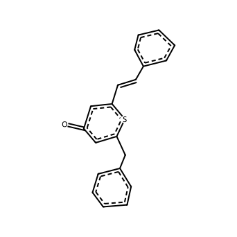 O=c1cc(C=Cc2ccccc2)sc(Cc2ccccc2)c1